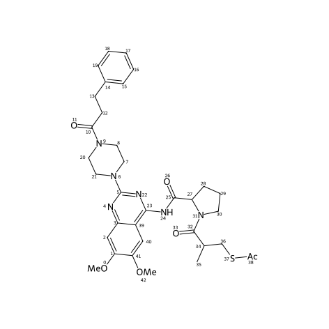 COc1cc2nc(N3CCN(C(=O)CCc4ccccc4)CC3)nc(NC(=O)C3CCCN3C(=O)C(C)CSC(C)=O)c2cc1OC